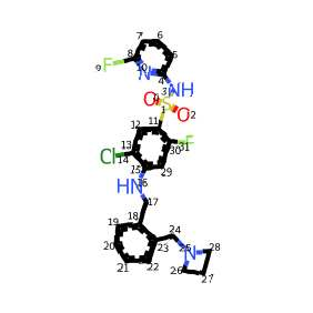 O=S(=O)(Nc1cccc(F)n1)c1cc(Cl)c(NCc2ccccc2CN2CCC2)cc1F